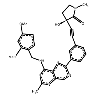 COc1ccc(CNc2nc(C)nc3cnc(-c4cccc(C#C[C@]5(O)CCN(C)C5=O)c4)nc23)c(OC)c1